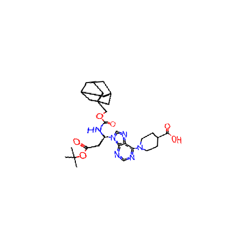 CC(C)(C)OC(=O)CC(NC(=O)OCC12CC3CC(CC(C3)C1)C2)n1cnc2c(N3CCC(C(=O)O)CC3)ncnc21